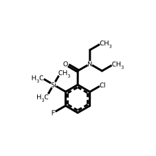 CCN(CC)C(=O)c1c(Cl)ccc(F)c1[Si](C)(C)C